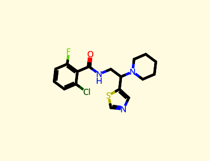 O=C(NCC(c1cncs1)N1CCCCC1)c1c(F)cccc1Cl